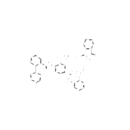 COc1cc(C(=O)N(C)c2ccccc2OCCCN2C(=O)c3ccccc3C2=O)ccc1NC(=O)c1ccccc1-c1ccc(C)cc1